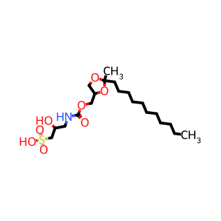 CCCCCCCCCCCC1(C)OCC(COC(=O)NCC(O)CS(=O)(=O)O)O1